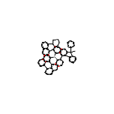 CC1(c2ccccc2)c2ccccc2-c2c(-c3ccccc3N(c3ccccc3-c3cccc4cccc(-c5ccccc5)c34)c3ccccc3-c3cccc4cccc(C5CCCCC5)c34)cccc21